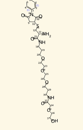 C/C=C\C(=C/C)N1C(=O)CC(SCC(N)C(=O)NCCCOCCOCCOCCCNC(=O)COCCO)C1=O